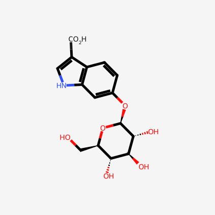 O=C(O)c1c[nH]c2cc(O[C@@H]3O[C@H](CO)[C@@H](O)[C@H](O)[C@H]3O)ccc12